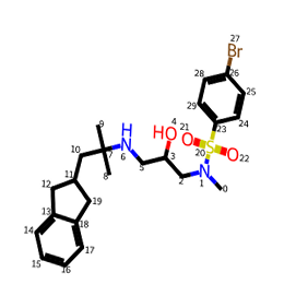 CN(CC(O)CNC(C)(C)CC1Cc2ccccc2C1)S(=O)(=O)c1ccc(Br)cc1